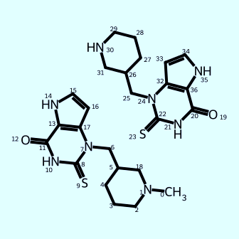 CN1CCCC(Cn2c(=S)[nH]c(=O)c3[nH]ccc32)C1.O=c1[nH]c(=S)n(CC2CCCNC2)c2cc[nH]c12